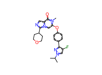 CC(C)n1cc(F)c(-c2ccc(Oc3cn4c(C5CCOCC5)ncc4c(=O)n3C)cc2)n1